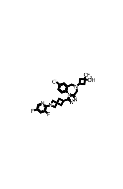 OC1(C(F)(F)F)CC(N2Cc3cc(Cl)ccc3-n3c(nnc3C3CC4(C3)CN(c3ncc(F)cc3F)C4)C2)C1